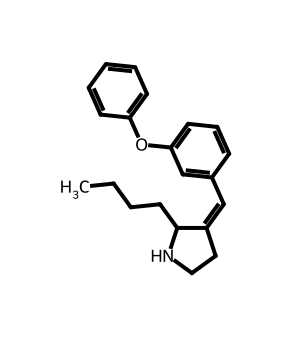 CCCCC1NCCC1=Cc1cccc(Oc2ccccc2)c1